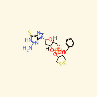 Nc1nc2c(ncn2[C@H]2C[C@@H]3O[PH](O)(O[C@@H]4CSSC[C@H]4OCc4ccccc4)OC[C@H]3O2)c(=S)[nH]1